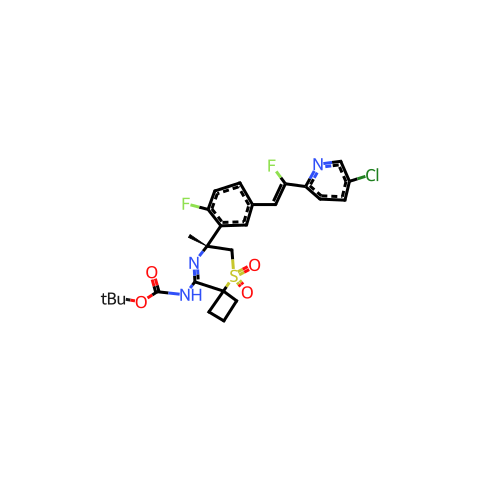 CC(C)(C)OC(=O)NC1=N[C@](C)(c2cc(/C=C(\F)c3ccc(Cl)cn3)ccc2F)CS(=O)(=O)C12CCC2